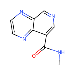 CNC(=O)c1cncc2nc[c]nc12